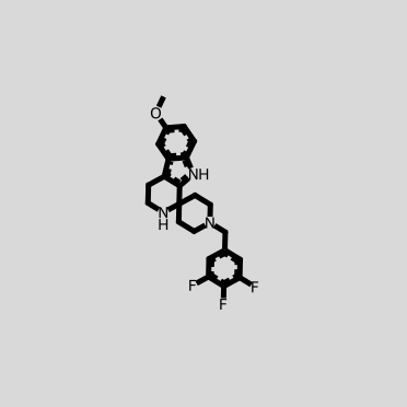 COc1ccc2[nH]c3c(c2c1)CCNC31CCN(Cc2cc(F)c(F)c(F)c2)CC1